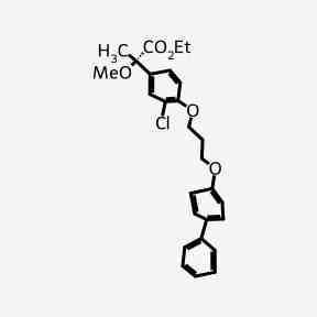 CCOC(=O)[C@@](C)(OC)c1ccc(OCCCOc2ccc(-c3ccccc3)cc2)c(Cl)c1